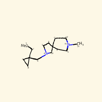 COCC1(CN2CCC3(CCN(C)CC3)C2)CC1